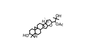 CC(=O)OC(C1C[C@@H](C)[C@H]2C(CC3C4CC[C@H]5C(C)(C)C(O)CCC56CC46CCC32C)O1)C(C)(C)O